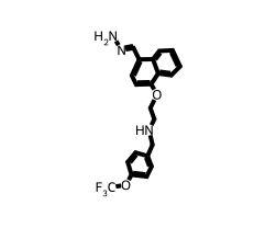 NN=Cc1ccc(OCCNCc2ccc(OC(F)(F)F)cc2)c2ccccc12